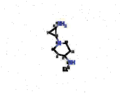 CCNC1CCN(C2CC2N)CC1